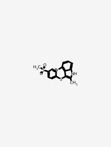 Cc1[nH]c2cccc(Br)c2c1Sc1ccc(S(C)(=O)=O)cc1